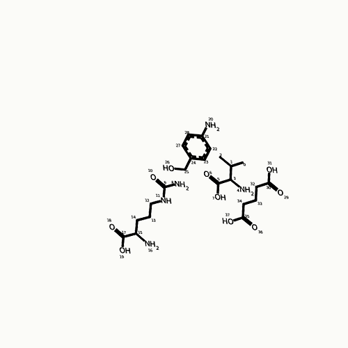 CC(C)C(N)C(=O)O.NC(=O)NCCCC(N)C(=O)O.Nc1ccc(CO)cc1.O=C(O)CCCC(=O)O